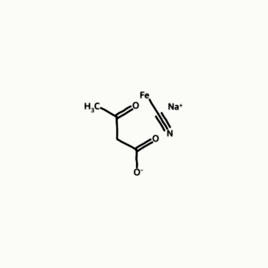 CC(=O)CC(=O)[O-].N#[C][Fe].[Na+]